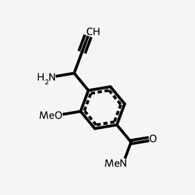 C#CC(N)c1ccc(C(=O)NC)cc1OC